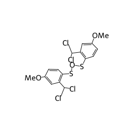 COc1ccc(SOSc2ccc(OC)cc2C(Cl)Cl)c(C(Cl)Cl)c1